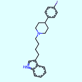 Ic1ccc(C2CCN(CCCCc3c[nH]c4ccccc34)CC2)cc1